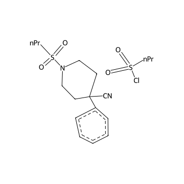 CCCS(=O)(=O)Cl.CCCS(=O)(=O)N1CCC(C#N)(c2ccccc2)CC1